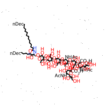 CCCCCCCCCCCCC/C=C/[C@@H](O)[C@H](CO[C@@H]1OC(CO)[C@@H](O[C@@H]2OC(CO)[C@H](O[C@@H]3OC(CO)[C@H](O)[C@H](O[C@@H]4OC(CO)[C@H](O)[C@H](O[C@@H]5OC(CO[C@]6(C(=O)O)CC(O)[C@@H](NC(C)=O)C([C@H](O)[C@H](O)CO)O6)[C@H](O)[C@H](O[C@]6(C(=O)O)CC(O)[C@@H](NC(C)=O)C([C@H](O)[C@H](O)CO)O6)C5O)C4NC(C)=O)C3O)[C@H](O)C2O)[C@H](O)C1O)NC(=O)CCCCCCCCCCCCCCCCCCCCCCC